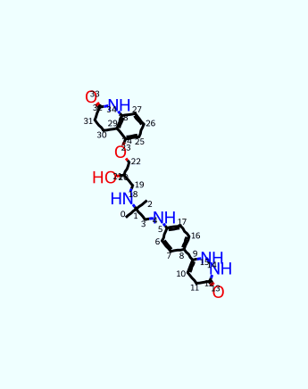 CC(C)(CNc1ccc(C2=CCC(=O)NN2)cc1)NCC(O)COc1cccc2c1CCC(=O)N2